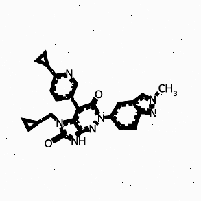 Cn1cc2cc(-n3nc4[nH]c(=O)n(CC5CC5)c4c(-c4ccc(C5CC5)nc4)c3=O)ccc2n1